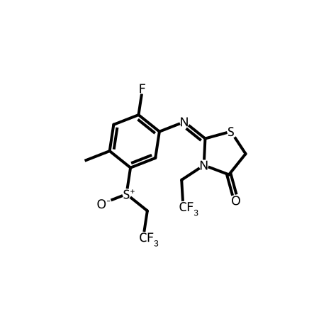 Cc1cc(F)c(N=C2SCC(=O)N2CC(F)(F)F)cc1[S+]([O-])CC(F)(F)F